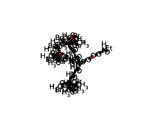 CCC(=O)NCCOCCOCCOCCOCC(CNC(=O)CCNC(=O)COCC(COC(=O)C(C)(C)Br)(COC(=O)C(C)(C)Br)COC(=O)C(C)(C)Br)(CNC(=O)CCNC(=O)COCC(COC(=O)C(C)(C)Br)(COC(=O)C(C)(C)Br)COC(=O)C(C)(C)Br)CNC(=O)CCNC(=O)COCC(COC(=O)C(C)(C)Br)(COC(=O)C(C)(C)Br)COC(=O)C(C)(C)Br